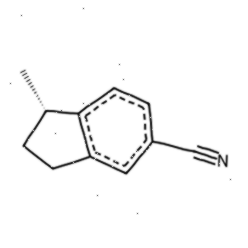 C[C@H]1CCc2cc(C#N)ccc21